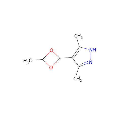 Cc1n[nH]c(C)c1C1OC(C)O1